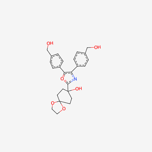 OCc1ccc(-c2nc(C3(O)CCC4(CC3)OCCO4)oc2-c2ccc(CO)cc2)cc1